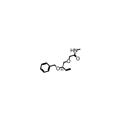 C=C[C@H](COCC(=O)NC)OCc1ccccc1